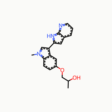 CC(O)COc1ccc2c(c1)c(-c1cc3cccnc3[nH]1)cn2C